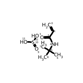 C=CC(=O)NC(C)(C)C.O=S(O)O